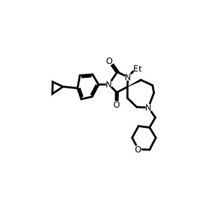 CCN1C(=O)N(c2ccc(C3CC3)cc2)C(=O)[C@]12CCCN(CC1CCOCC1)CC2